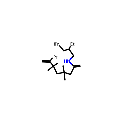 C=C(CC(C)(C)CC(C)(C)C(=C)C(C)C)NCC(CC)CC(C)C